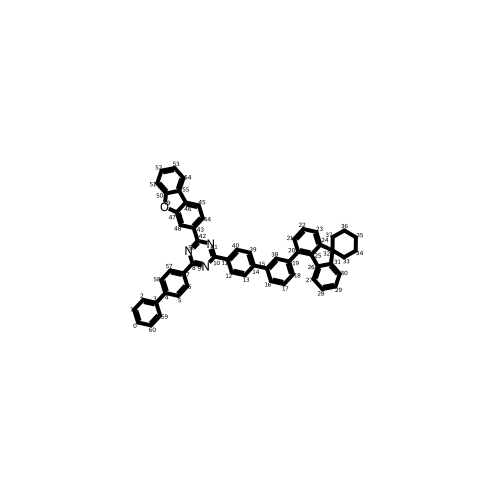 c1ccc(-c2ccc(-c3nc(-c4ccc(-c5cccc(-c6cccc7c6-c6ccccc6C76CCCCC6)c5)cc4)nc(-c4ccc5c(c4)oc4ccccc45)n3)cc2)cc1